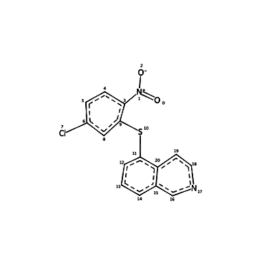 O=[N+]([O-])c1ccc(Cl)cc1Sc1cccc2cnccc12